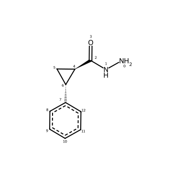 NNC(=O)[C@@H]1C[C@H]1c1ccccc1